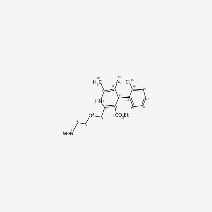 CCOC(=O)C1=C(COCCNC)NC(C)=C(C(C)=O)[C@H]1c1ccccc1Cl